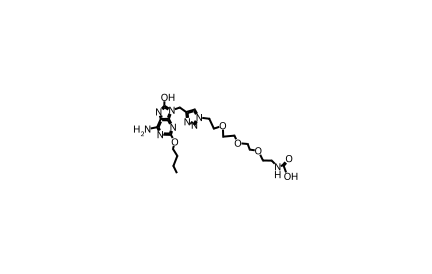 CCCCOc1nc(N)c2nc(O)n(Cc3cn(CCOCCOCCOCCNC(=O)O)nn3)c2n1